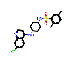 Cc1ccc(C)c(S(=O)(=O)N[C@H]2CC[C@@H](Nc3ccnc4cc(Cl)ccc34)CC2)c1